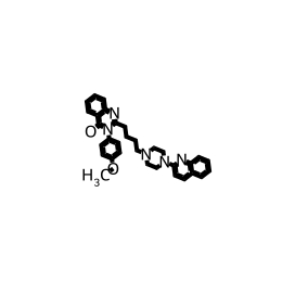 COc1ccc(-n2c(CCCCN3CCN(c4ccc5ccccc5n4)CC3)nc3ccccc3c2=O)cc1